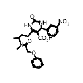 CC(CCC1=C(C(=O)O)C(c2cccc([N+](=O)[O-])c2)NC(=O)N1)N(C)C(=O)COc1ccccc1